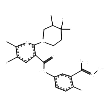 Cc1nc(N2CCC(F)(F)C(C)C2)c(C(=O)Nc2ccc(F)c(C(N)=NO)c2)cc1Cl